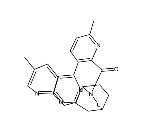 Cc1ccc(OC2CC3CCC2N(C(=O)c2nc(C)ccc2-c2ccccn2)C3)nc1